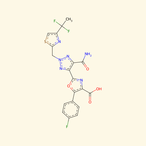 CC(F)(F)c1csc(Cn2nc(C(N)=O)c(-c3nc(C(=O)O)c(-c4ccc(F)cc4)o3)n2)n1